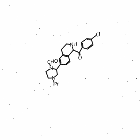 CC(C)N1CCN(C=O)C(c2ccc3c(c2)CCNC3C(=O)c2ccc(Cl)cc2)C1